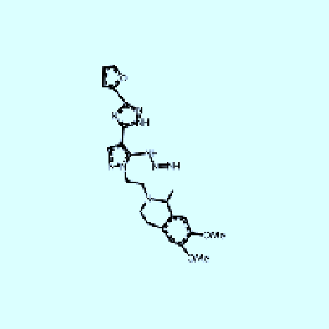 COc1cc2c(cc1OC)C(C)N(CCn1ncc(-c3nc(-c4ccco4)n[nH]3)c1NN=N)CC2